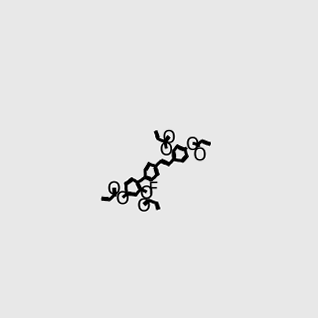 C=CC(=O)Oc1ccc(/C=C/c2ccc(-c3ccc(OC(=O)C=C)cc3OC(=O)C=C)c(F)c2)c(OC(=O)C=C)c1